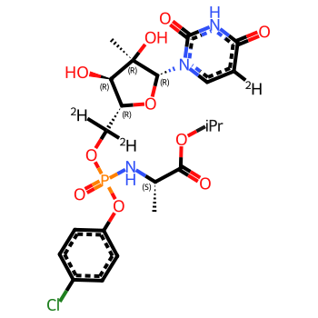 [2H]c1cn([C@@H]2O[C@H](C([2H])([2H])OP(=O)(N[C@@H](C)C(=O)OC(C)C)Oc3ccc(Cl)cc3)[C@@H](O)[C@@]2(C)O)c(=O)[nH]c1=O